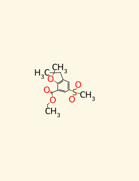 CCOC(=O)c1cc(S(C)(=O)=O)cc2c1OC(C)(C)C2